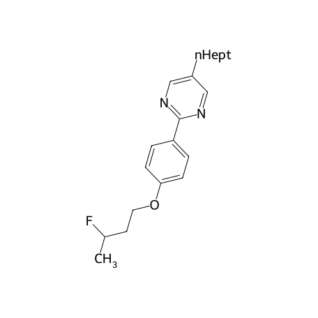 CCCCCCCc1cnc(-c2ccc(OCCC(C)F)cc2)nc1